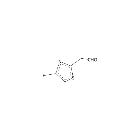 O=CCc1nc(F)cs1